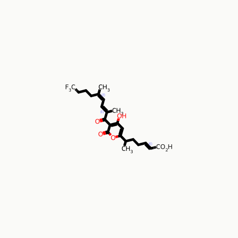 C/C(=C/C=C(\C)C(=O)c1c(O)cc(C(C)CC/C=C/C(=O)O)oc1=O)CCCC(F)(F)F